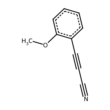 COc1ccccc1C#CC#N